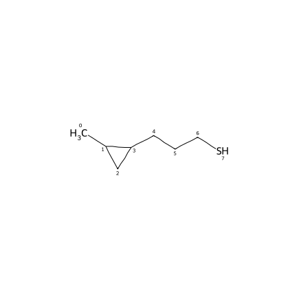 CC1CC1CCCS